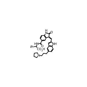 CC(C)C(NC(=O)c1ccc2c(c1)/C(=C\c1cc3cc(CCCN4CCCC4)ccc3[nH]1)C(=O)N2)C(=O)O